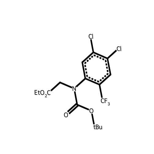 CCOC(=O)CN(C(=O)OC(C)(C)C)c1cc(Cl)c(Cl)cc1C(F)(F)F